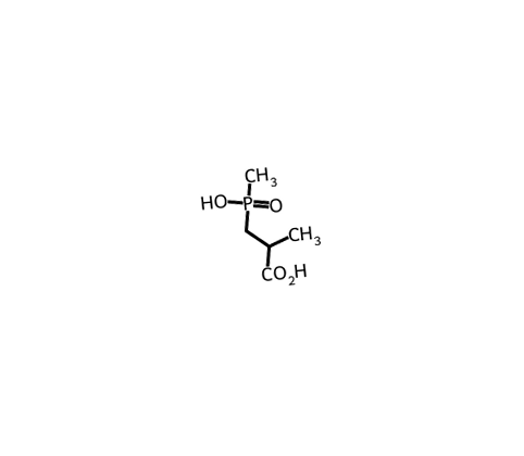 CC(CP(C)(=O)O)C(=O)O